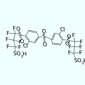 O=S(=O)(c1ccc(S(=O)(=O)C(F)(F)C(F)(F)C(F)(F)S(=O)(=O)O)c(Cl)c1)c1ccc(S(=O)(=O)C(F)(F)C(F)(F)C(F)(F)S(=O)(=O)O)c(Cl)c1